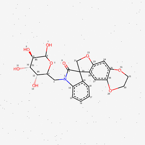 O=C1N(CC2OC(O)[C@H](O)[C@@H](O)[C@H]2O)c2ccccc2C12COc1cc3c(cc12)OCCO3